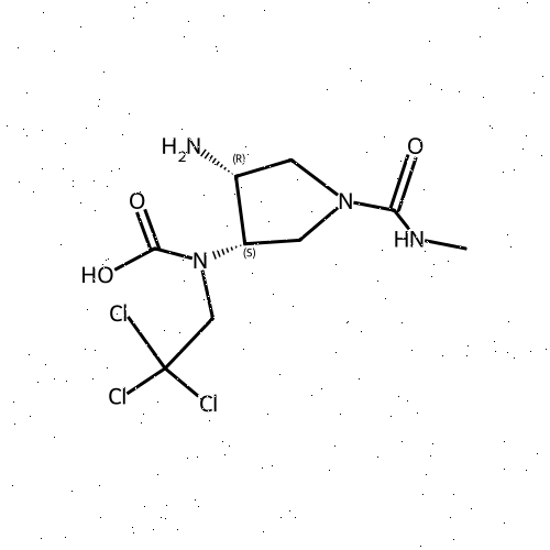 CNC(=O)N1C[C@@H](N)[C@@H](N(CC(Cl)(Cl)Cl)C(=O)O)C1